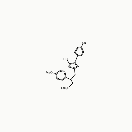 CCOC(=O)CC(Cc1cc(O)n(-c2ccc(C#N)cc2)n1)c1ccc(OC)nc1